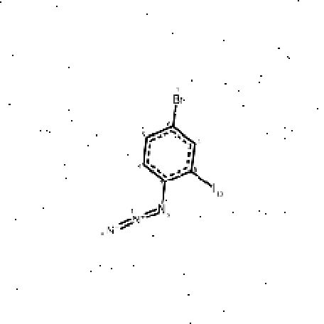 [N-]=[N+]=Nc1ccc(Br)cc1I